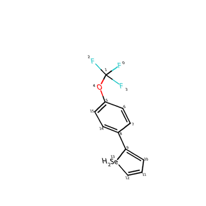 FC(F)(F)Oc1ccc(C2=CC=C[SeH2]2)cc1